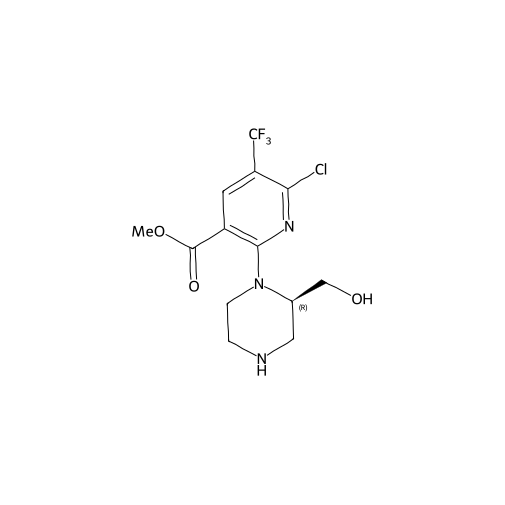 COC(=O)c1cc(C(F)(F)F)c(Cl)nc1N1CCNC[C@@H]1CO